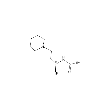 CC(C)C(=O)N[C@H](CCN1CCCCC1)C(C)C